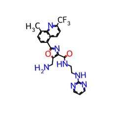 Cc1ccc(-c2nc(C(=O)NCCNc3ncccn3)c(CN)o2)c2ccc(C(F)(F)F)nc12